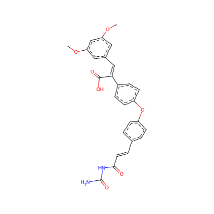 COc1cc(C=C(C(=O)O)c2ccc(Oc3ccc(C=CC(=O)NC(N)=O)cc3)cc2)cc(OC)c1